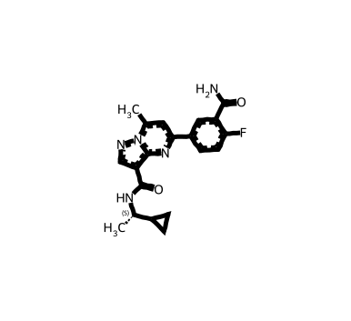 Cc1cc(-c2ccc(F)c(C(N)=O)c2)nc2c(C(=O)N[C@@H](C)C3CC3)cnn12